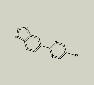 CC(C)c1cnc(-c2ccc3ncsc3c2)nc1